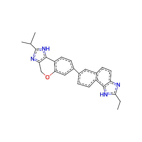 CCc1nc2ccc3cc(-c4ccc5c(c4)OCc4nc(C(C)C)[nH]c4-5)ccc3c2[nH]1